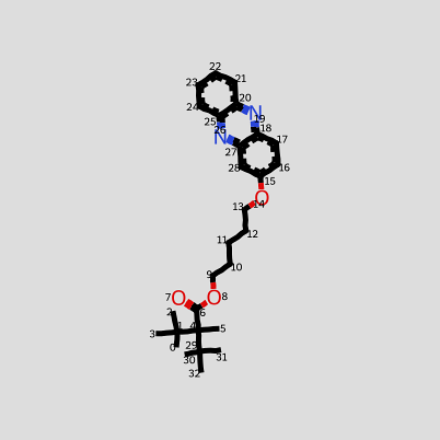 CC(C)(C)C(C)(C(=O)OCCCCCOc1ccc2nc3ccccc3nc2c1)C(C)(C)C